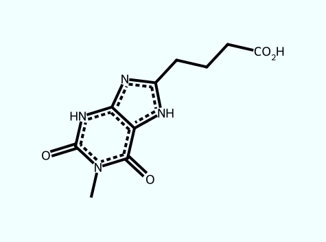 Cn1c(=O)[nH]c2nc(CCCC(=O)O)[nH]c2c1=O